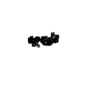 CC1=C(N2CCC3(CCN(C[C@H](O)c4ccc5c(c4)[C@@H](C)n4nnnc4-5)CC3)C2=O)COC1=O